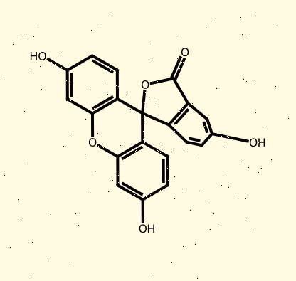 O=C1OC2(c3ccc(O)cc3Oc3cc(O)ccc32)c2ccc(O)cc21